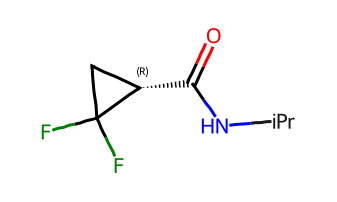 CC(C)NC(=O)[C@H]1CC1(F)F